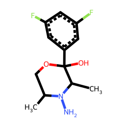 CC1COC(O)(c2cc(F)cc(F)c2)C(C)N1N